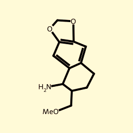 COCC1CCc2cc3c(cc2C1N)OCO3